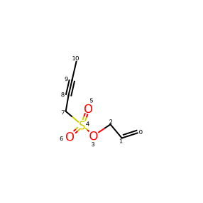 C=CCOS(=O)(=O)CC#CC